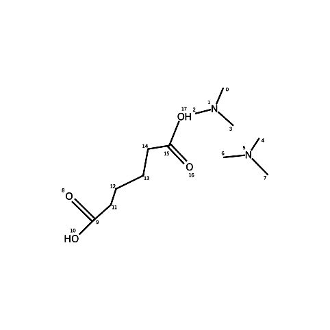 CN(C)C.CN(C)C.O=C(O)CCCCC(=O)O